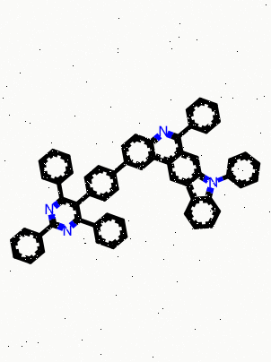 c1ccc(-c2nc(-c3ccccc3)c(-c3ccc(-c4ccc5nc(-c6ccccc6)c6cc7c(cc6c5c4)c4ccccc4n7-c4ccccc4)cc3)c(-c3ccccc3)n2)cc1